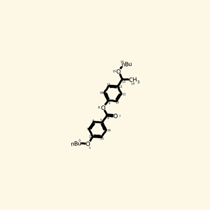 CCCCOc1ccc(C(=O)Oc2ccc(C(C)OCCCC)cc2)cc1